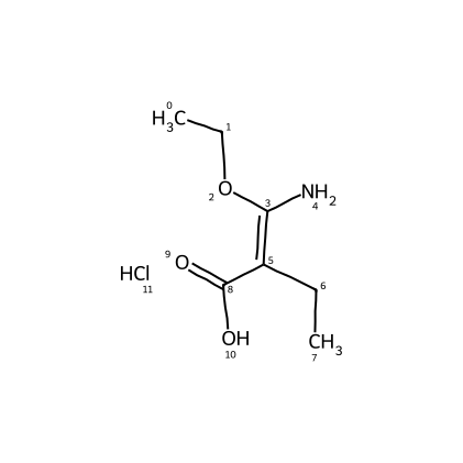 CCOC(N)=C(CC)C(=O)O.Cl